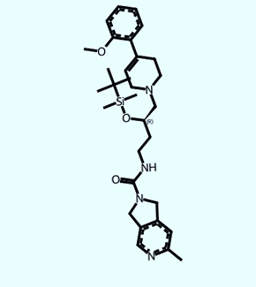 COc1ccccc1C1=CCN(C[C@@H](CCNC(=O)N2Cc3cnc(C)cc3C2)O[Si](C)(C)C(C)(C)C)CC1